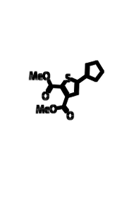 COC(=O)c1cc(C2=CCCC2)sc1C(=O)OC